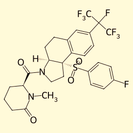 CN1C(=O)CCC[C@H]1C(=O)N1CC[C@]2(S(=O)(=O)c3ccc(F)cc3)c3ccc(C(F)(C(F)(F)F)C(F)(F)F)cc3CC[C@H]12